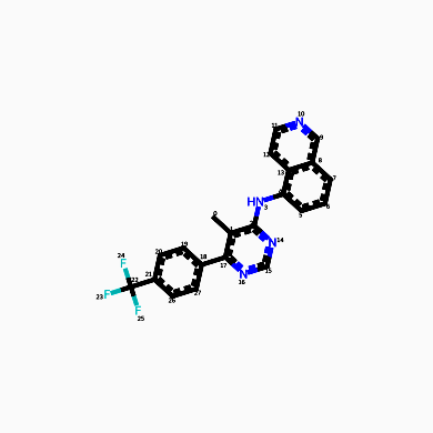 Cc1c(Nc2cccc3cnccc23)ncnc1-c1ccc(C(F)(F)F)cc1